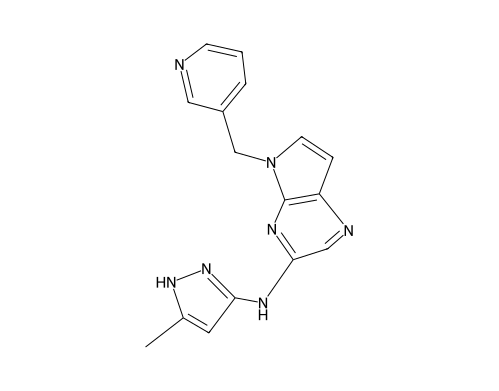 Cc1cc(Nc2cnc3ccn(Cc4cccnc4)c3n2)n[nH]1